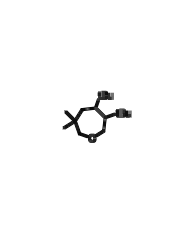 CC1(C)COCC(C(C)(C)C)C(C(C)(C)C)C1